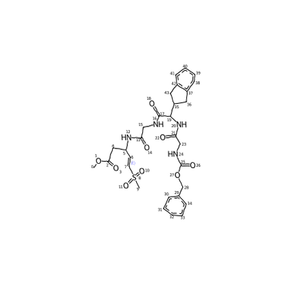 COC(=O)CC(/C=C/S(C)(=O)=O)NC(=O)CNC(=O)C(NC(=O)CNC(=O)OCc1ccccc1)C1Cc2ccccc2C1